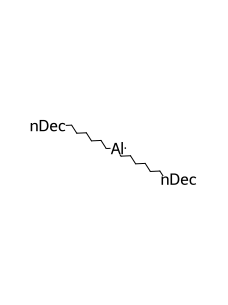 CCCCCCCCCCCCCCC[CH2][Al][CH2]CCCCCCCCCCCCCCC